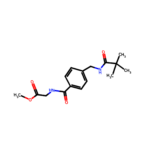 COC(=O)CNC(=O)c1ccc(CNC(=O)C(C)(C)C)cc1